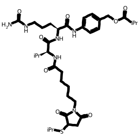 CC(C)SC1CC(=O)N(CCCCCC(=O)N[C@H](C(=O)N[C@@H](CCCNC(N)=O)C(=O)Nc2ccc(COC(=O)C(C)C)cc2)C(C)C)C1=O